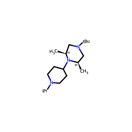 CC(C)N1CCC(N2[C@H](C)CN(C(C)(C)C)C[C@@H]2C)CC1